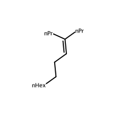 [CH2]CCC(=CCCCCCCCC)CCC